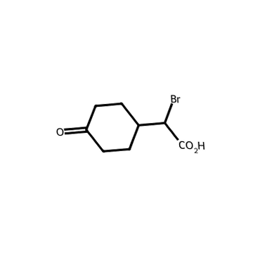 O=C1CCC(C(Br)C(=O)O)CC1